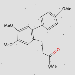 COC(=O)CCc1cc(OC)c(OC)cc1-c1ccc(OC)cc1